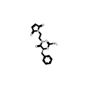 NC(=O)O[C@@H](Cc1ccccc1)C(=O)NCCN1C(=O)C=CC1=O